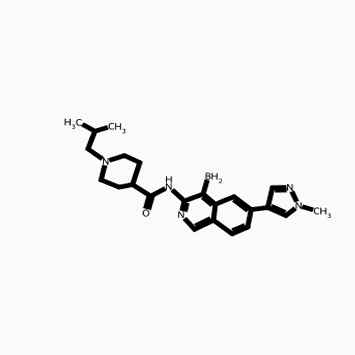 Bc1c(NC(=O)C2CCN(CC(C)C)CC2)ncc2ccc(-c3cnn(C)c3)cc12